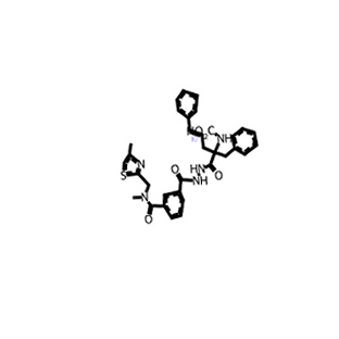 Cc1csc(CN(C)C(=O)c2cccc(C(=O)NNC(=O)C(C/C=C/c3ccccc3)(Cc3ccccc3)NC(=O)O)c2)n1